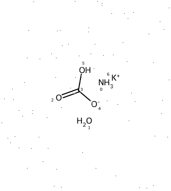 N.O.O=C([O-])O.[K+]